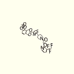 CS(=O)(=O)Oc1cccc2c1COC(c1csc(C3CCN(C(=O)COc4ncccc4C(F)(F)CF)CC3)n1)OC2